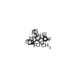 COC(=O)C1=C(CN2C3COCC2[C@H](F)C3)NC(c2nccs2)=N[C@H]1c1ccc(F)cc1Cl